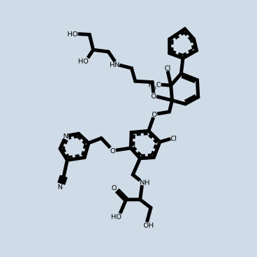 CC1(Cl)C(c2ccccc2)=CC=CC1(COc1cc(OCc2cncc(C#N)c2)c(CNC(CO)C(=O)O)cc1Cl)OCCCNCC(O)CO